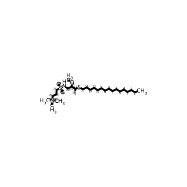 CCCCCCCCCCCCCCCCSC(I)C(CNS(=O)(=O)CCC[N+](C)(C)C)OC